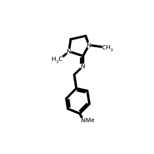 CNc1ccc(CN=C2N(C)CCN2C)cc1